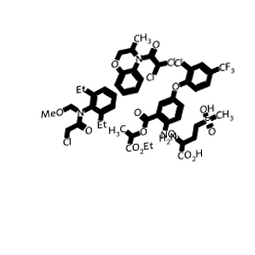 CC1COc2ccccc2N1C(=O)C(Cl)Cl.CCOC(=O)C(C)OC(=O)c1cc(Oc2ccc(C(F)(F)F)cc2Cl)ccc1[N+](=O)[O-].CCc1cccc(CC)c1N(COC)C(=O)CCl.CP(=O)(O)CCC(N)C(=O)O